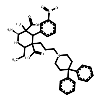 CCC1N[C@@H](N)C(C)(C(=O)O)C(c2cccc([N+](=O)[O-])c2)C1(CCCN1CCC(c2ccccc2)(c2ccccc2)CC1)C(=O)O